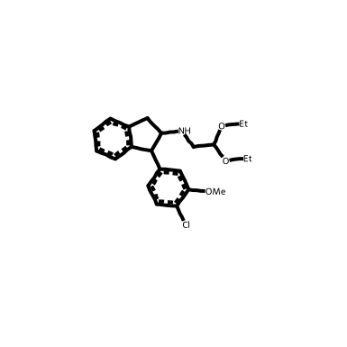 CCOC(CNC1Cc2ccccc2C1c1ccc(Cl)c(OC)c1)OCC